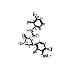 COc1c(Cl)ccc([C@H]2CN(C)C(=O)[C@@H]2C(=O)Nc2cccc(F)c2F)c1F